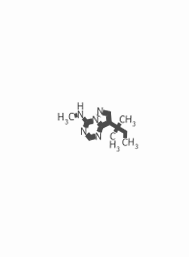 CCC(C)(C)c1cnn2c(NC)ncnc12